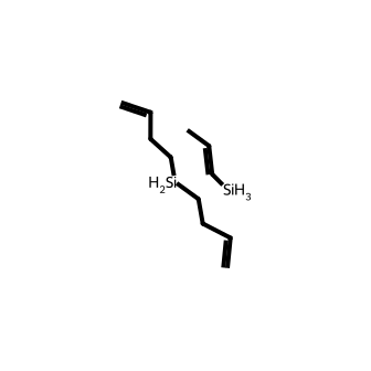 C=CCC[SiH2]CCC=C.CC=C[SiH3]